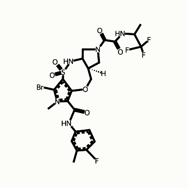 Cc1cc(NC(=O)c2c3c(c(Br)n2C)S(=O)(=O)NC2CN(C(=O)C(=O)NC(C)C(F)(F)F)C[C@H]2CO3)ccc1F